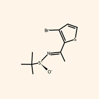 C/C(=N\[S@@+]([O-])C(C)(C)C)c1sccc1Br